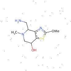 COc1nc2c(s1)C(O)CN(C)C2CN